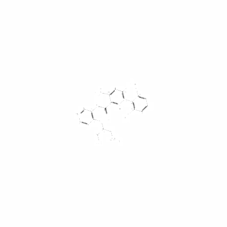 NCC(CCl)Oc1ccncc1NC(=O)c1nc(-c2c(F)cccc2F)c(F)cc1N